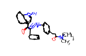 CN(C)C(=O)Cc1ccc(NC(C(=O)c2c[nH]c3ccccc23)c2ccccc2)cc1